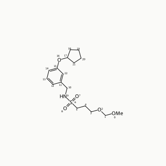 COCOCCCS(=O)(=O)NCc1cccc(OC2CCCC2)c1